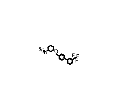 FC(F)(F)c1cccc(-c2ccc(CO[C@@H]3CCCC(N=C=S)C3)cc2)c1